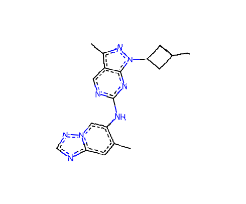 Cc1cc2ncnn2cc1Nc1ncc2c(C)nn(C3CC(C)C3)c2n1